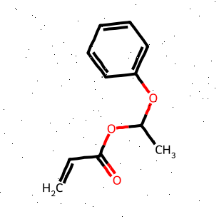 C=CC(=O)OC(C)Oc1[c]cccc1